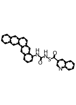 O=C(NSC(=O)c1cnc2ccccc2c1)Nc1cccc2cc3c(ccc4cc5ccccc5cc43)cc12